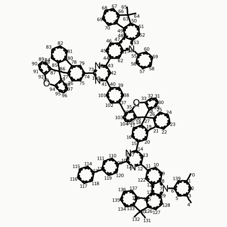 Cc1cc(C)cc(-n2c3ccc(-c4cc(-c5ccc6c(c5)-c5ccccc5C65c6ccccc6Oc6c(-c7ccc(-c8cc(-c9ccc%10c%11c%12c(ccc%11n(-c%11ccccc%11)c%10c9)C(C)(C)c9ccccc9-%12)nc(-c9ccc%10c(c9)-c9ccccc9C%109c%10ccccc%10Oc%10ccccc%109)n8)cc7)cccc65)nc(-c5ccc(-c6ccccc6)cc5)n4)cc3c3c4c(ccc32)C(C)(C)c2ccccc2-4)c1